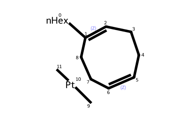 CCCCCC/C1=C/CC/C=C\CC1.[CH3][Pt][CH3]